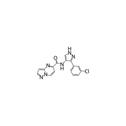 O=C(Nc1c[nH]nc1-c1cccc(Cl)c1)c1ccn2nccc2n1